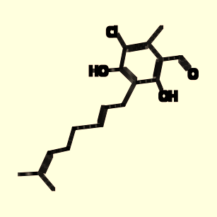 CC(C)=CCC/C=C/Cc1c(O)c(Cl)c(C)c(C=O)c1O